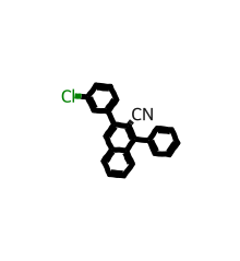 N#Cc1c(-c2cccc(Cl)c2)cc2ccccc2c1-c1ccccc1